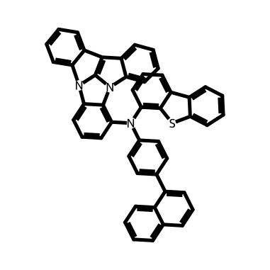 c1ccc2c(-c3ccc(N(c4cccc5c4sc4ccccc45)c4cccc5c4n4c6ccccc6c6c7ccccc7n5c64)cc3)cccc2c1